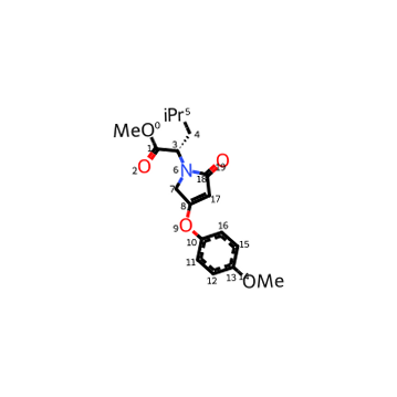 COC(=O)[C@H](CC(C)C)N1CC(Oc2ccc(OC)cc2)=CC1=O